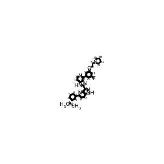 CN(C)c1cccc(-c2ccc3[nH]nc(-c4nc5c(-c6cc(F)cc(OCCN7CCCC7)c6)nccc5[nH]4)c3n2)c1